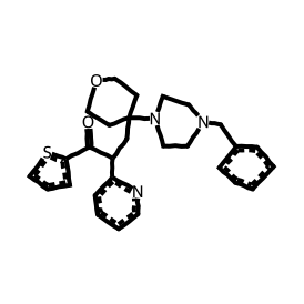 O=C(c1cccs1)C(CC1(N2CCN(Cc3ccccc3)CC2)CCOCC1)c1ccccn1